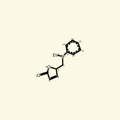 CCN(CC1C=CC(=O)O1)c1ccccc1